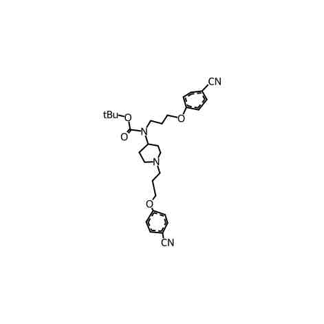 CC(C)(C)OC(=O)N(CCCOc1ccc(C#N)cc1)C1CCN(CCCOc2ccc(C#N)cc2)CC1